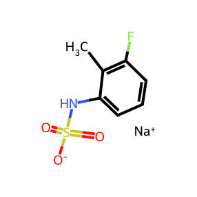 Cc1c(F)cccc1NS(=O)(=O)[O-].[Na+]